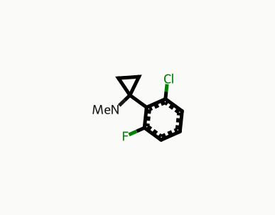 CNC1(c2c(F)cccc2Cl)CC1